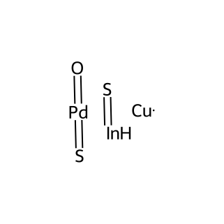 [Cu].[O]=[Pd]=[S].[S]=[InH]